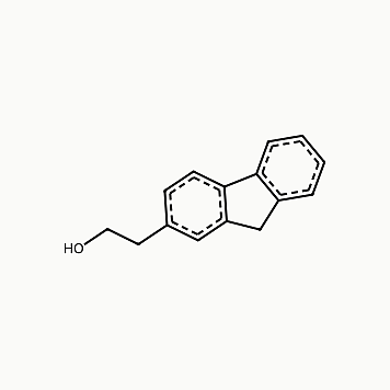 OCCc1ccc2c(c1)Cc1ccccc1-2